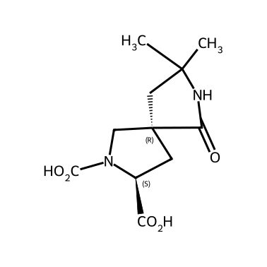 CC1(C)C[C@@]2(C[C@@H](C(=O)O)N(C(=O)O)C2)C(=O)N1